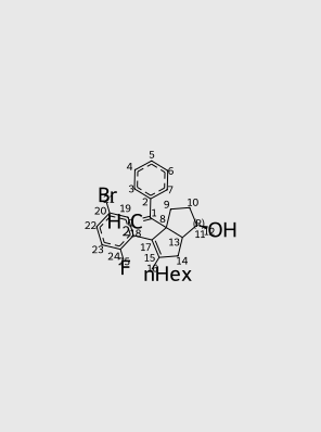 C=C(c1ccccc1)C12CC[C@@H](O)C1CC(CCCCCC)=C2c1cc(Br)ccc1F